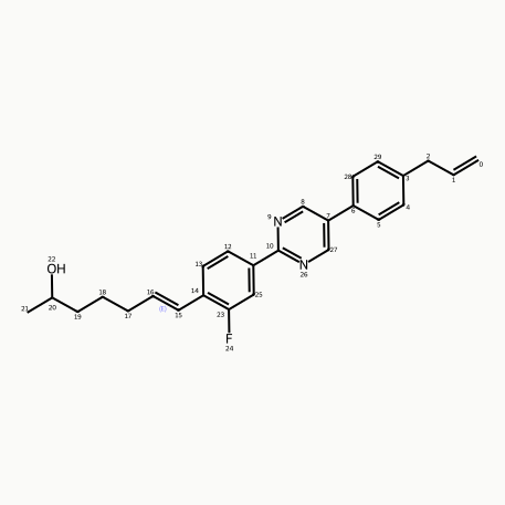 C=CCc1ccc(-c2cnc(-c3ccc(/C=C/CCCC(C)O)c(F)c3)nc2)cc1